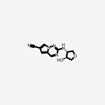 N#Cc1cc2cnc(N[C@@H]3COC[C@H]3O)nn2c1